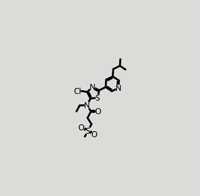 CCN(C(=O)CCS(C)(=O)=O)c1sc(-c2cncc(CC(C)C)c2)nc1Cl